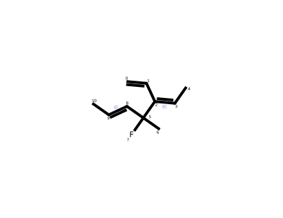 C=C/C(=C\C)C(C)(F)/C=C/C